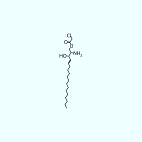 CCCCCCCCCCCCCC=CC(O)C(N)COC(=O)CCl